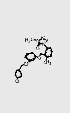 Cc1cccc(-n2nnn(C)c2=O)c1COc1cccc(OCc2ccc(Cl)cc2)c1